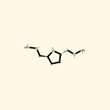 CCCOC[C@@H]1CC[C@@H](COCCC)O1